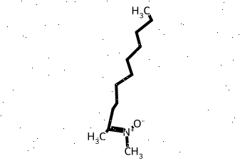 CCCCCCCCCC(C)=[N+](C)[O-]